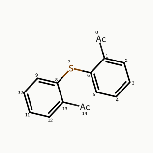 CC(=O)c1ccccc1Sc1ccccc1C(C)=O